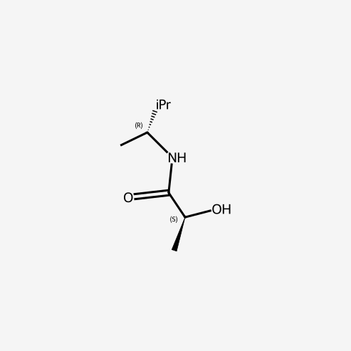 CC(C)[C@@H](C)NC(=O)[C@H](C)O